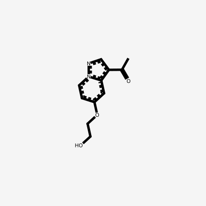 CC(=O)c1cnn2ccc(OCCO)cc12